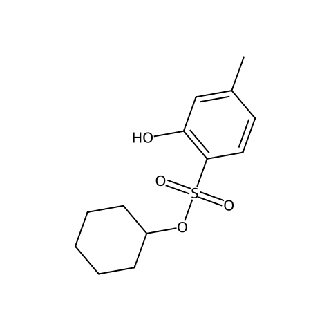 Cc1ccc(S(=O)(=O)OC2CCCCC2)c(O)c1